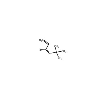 BC(C)(C)/N=C(/Br)C=C